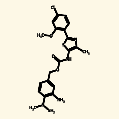 COc1cc(Cl)ccc1-c1nc(C)c(NC(=O)OCc2ccc(N(C)N)c(N)c2)s1